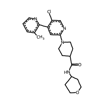 Cc1cccnc1-c1cc(N2CCC(C(=O)NC3CCOCC3)CC2)ncc1Cl